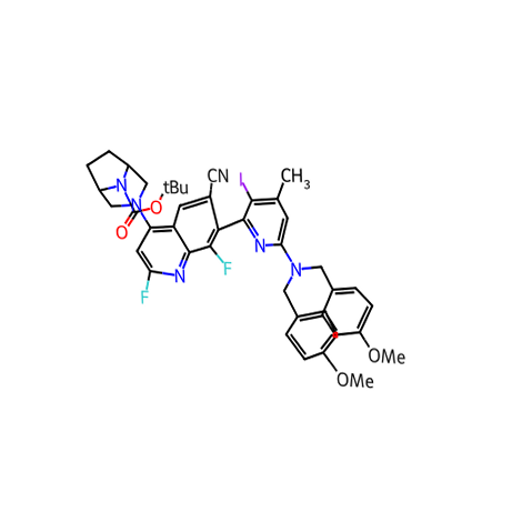 COc1ccc(CN(Cc2ccc(OC)cc2)c2cc(C)c(I)c(-c3c(C#N)cc4c(N5CC6CCC(C5)N6C(=O)OC(C)(C)C)cc(F)nc4c3F)n2)cc1